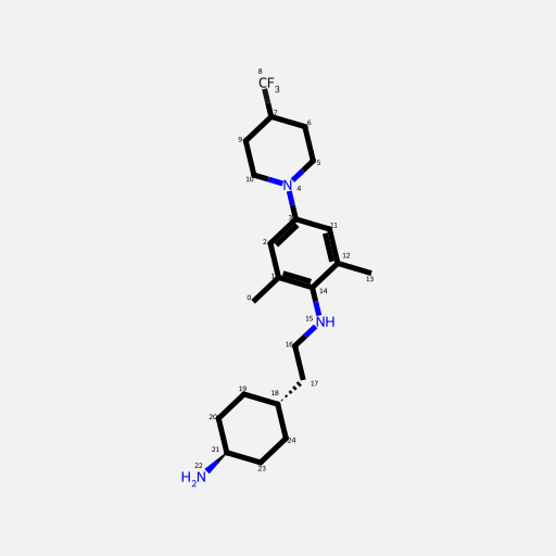 Cc1cc(N2CCC(C(F)(F)F)CC2)cc(C)c1NCC[C@H]1CC[C@H](N)CC1